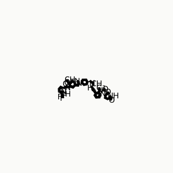 COc1cc2nn([C@H]3CC[C@H](CN(C)CC#Cc4cccc5c4n(C)c(=O)n5C4CCC(=O)NC4=O)CC3)cc2cc1NC(=O)c1cccc(C(F)(F)F)n1